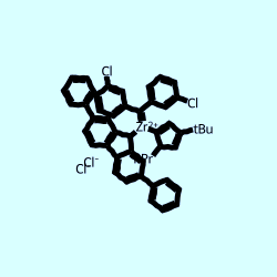 CCCC1C=C(C(C)(C)C)C=[C]1[Zr+2](=[C](c1cccc(Cl)c1)c1cccc(Cl)c1)[CH]1c2cc(-c3ccccc3)ccc2-c2ccc(-c3ccccc3)cc21.[Cl-].[Cl-]